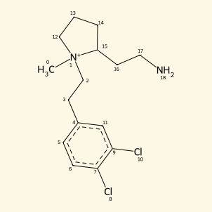 C[N+]1(CCc2ccc(Cl)c(Cl)c2)CCCC1CCN